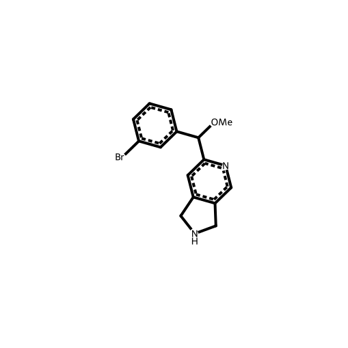 COC(c1cccc(Br)c1)c1cc2c(cn1)CNC2